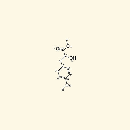 COC(=O)C(O)Cc1ccc(OC)cc1